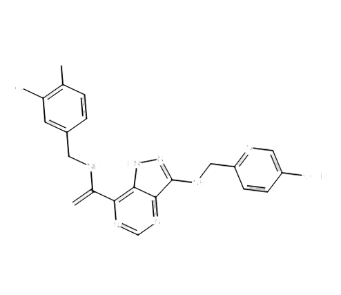 C=C(NCc1ccc(F)c(Cl)c1)c1ncnc2c(NCc3ccc(C(=O)O)cn3)n[nH]c12